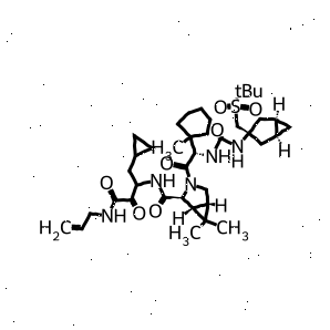 C=CCNC(=O)C(=O)C(CC1CC1)NC(=O)[C@@H]1[C@@H]2[C@H](CN1C(=O)[C@@H](NC(=O)N[C@]1(CS(=O)(=O)C(C)(C)C)C[C@H]3C[C@H]3C1)C1(C)CCCCC1)C2(C)C